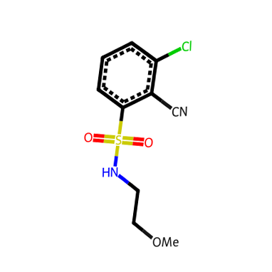 COCCNS(=O)(=O)c1cccc(Cl)c1C#N